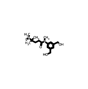 CN(C(=O)CCC(C)(C)S(C)=S)c1cc(CO)cc(CO)c1